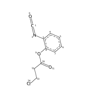 O=C=Nc1ccccc1OC(=O)CCCl